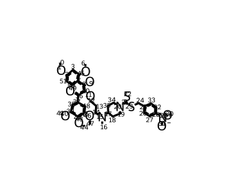 COc1cc(OC)c2c(=O)c(OCCCN(C)C3CCN(C(=S)SCc4ccc([N+](=O)[O-])cc4)CC3)c(-c3cc(OC)c(OC)c(OC)c3)oc2c1